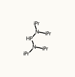 CC(C)N(PN(C(C)C)C(C)C)C(C)C